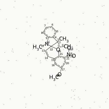 CCC1(C)c2ccccc2N(C)C12C=Cc1cc(OC)cc([N+](=O)[O-])c1O2